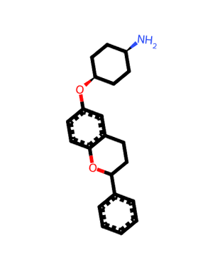 N[C@H]1CC[C@@H](Oc2ccc3c(c2)CCC(c2ccccc2)O3)CC1